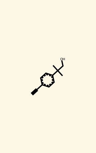 C#Cc1ccc(C(C)(C)CO)cc1